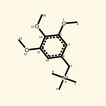 COc1cc(C[N+](C)(C)C)cc(OC)c1OC